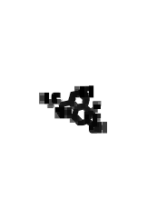 C[C@@H](N)c1cccc(C(F)(F)F)c1/C=C\CO.Cl